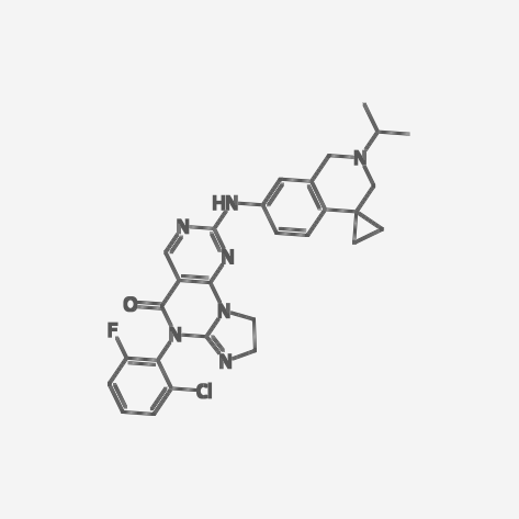 CC(C)N1Cc2cc(Nc3ncc4c(n3)N3CCN=C3N(c3c(F)cccc3Cl)C4=O)ccc2C2(CC2)C1